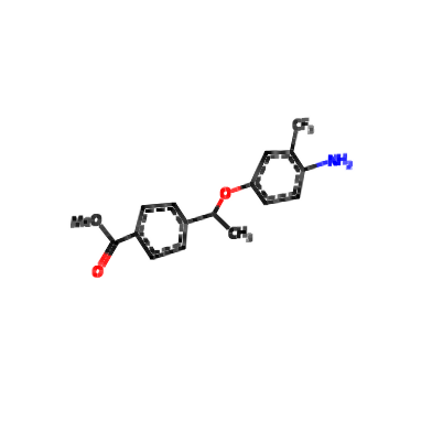 COC(=O)c1ccc(C(C)Oc2ccc(N)c(C(F)(F)F)c2)cc1